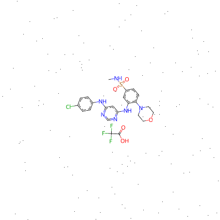 CNS(=O)(=O)c1ccc(N2CCOCC2)c(Nc2cc(Nc3ccc(Cl)cc3)ncn2)c1.O=C(O)C(F)(F)F